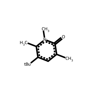 Cc1cc(C(C)(C)C)c(C)n(C)c1=O